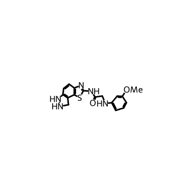 COc1cccc(NCC(=O)Nc2nc3ccc4c(c3s2)CNN4)c1